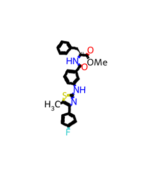 COC(=O)[C@H](Cc1ccccc1)NC(=O)c1cccc(Nc2nc(-c3ccc(F)cc3)c(C)s2)c1